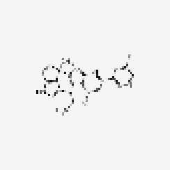 CC1(c2cc3nc(-c4cncc(F)c4)cc(Cl)n3n2)C=Cc2[nH]cc(CCN)c21